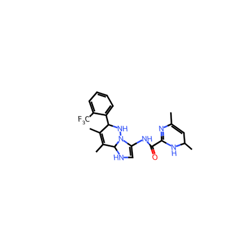 CC1=CC(C)NC(C(=O)NC2=CNC3C(C)=C(C)C(c4ccccc4C(F)(F)F)NN23)=N1